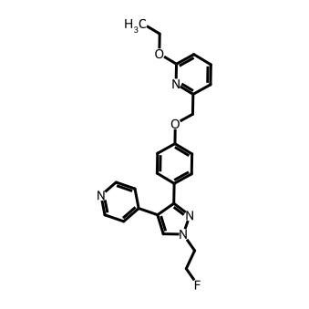 CCOc1cccc(COc2ccc(-c3nn(CCF)cc3-c3ccncc3)cc2)n1